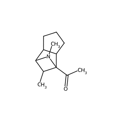 CC(=O)C12C(C)C(C3CCCC31)N2C